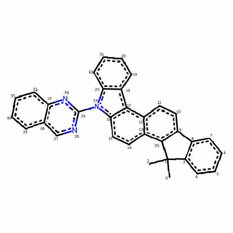 CC1(C)c2ccccc2-c2ccc3c(ccc4c3c3ccccc3n4-c3ncc4ccccc4n3)c21